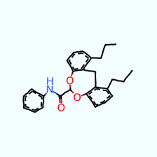 CCCc1cccc2c1Cc1c(CCC)cccc1OC(C(=O)Nc1ccccc1)O2